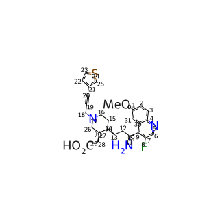 COc1ccc2ncc(F)c([C@@H](N)CC[C@@H]3CCN(CC#Cc4ccsc4)C[C@@H]3CC(=O)O)c2c1